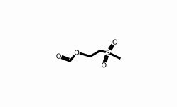 CS(=O)(=O)CCOC=O